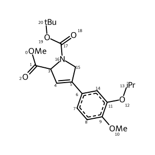 COC(=O)C1C=C(c2ccc(OC)c(OC(C)C)c2)CN1C(=O)OC(C)(C)C